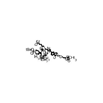 CCC(=O)CCCCC[C@H](NC(=O)[C@H]1CC12CCN(C(=O)OC(C)(C)C)CC2)c1ncc(-c2ccc3c(=O)n(CCOCCCOS(C)(=O)=O)ccc3c2)n1COCC[Si](C)(C)C